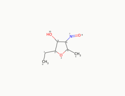 CCC1OC(C)C(N=O)C1O